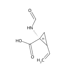 C=CC1C[C@]1(NC=O)C(=O)O